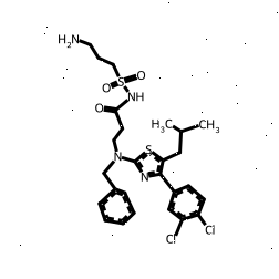 CC(C)Cc1sc(N(CCC(=O)NS(=O)(=O)CCCN)Cc2ccccc2)nc1-c1ccc(Cl)c(Cl)c1